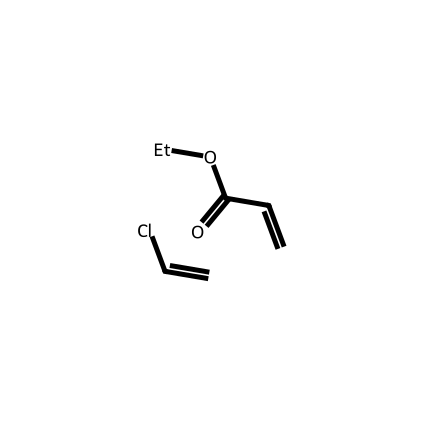 C=CC(=O)OCC.C=CCl